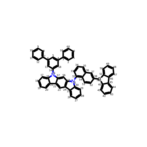 c1ccc(-c2cc(-c3ccccc3)cc(-n3c4ccccc4c4cc5c6ccccc6n(-c6cccc7cc(B8c9ccccc9-c9ccccc98)ccc67)c5cc43)c2)cc1